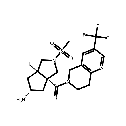 CS(=O)(=O)N1C[C@@H]2C[C@@H](N)C[C@]2(C(=O)N2CCc3ncc(C(F)(F)F)cc3C2)C1